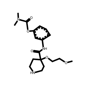 COCCOC1(C(=O)Nc2cccc(OC(=O)N(C)C)c2)CCNCC1